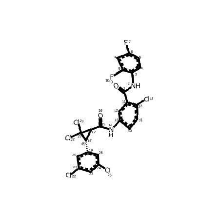 O=C(Nc1ccc(F)cc1F)c1cc(NC(=O)C2[C@H](c3cc(Cl)cc(Cl)c3)C2(Cl)Cl)ccc1Cl